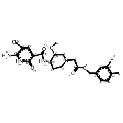 CO[C@H]1CN(CC(=O)OCc2ccc(C)c(F)c2)CC[C@H]1NC(=O)c1cc(Cl)c(N)[nH]c1=O